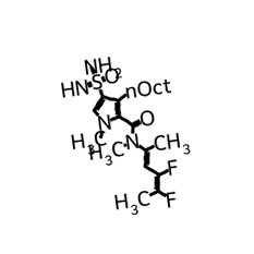 CCCCCCCCc1c(S(=N)(N)=O)cn(C)c1C(=O)N(C)/C(C)=C/C(F)=C(\C)F